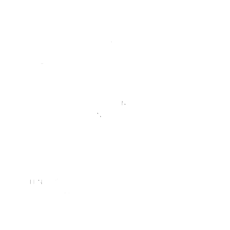 NC(=O)c1ccc(Cn2c(-c3cc(C(F)(F)F)cc(C(F)(F)F)c3)nc(-c3ccc4ccccc4c3)c2-c2ccc3ccccc3c2)cc1